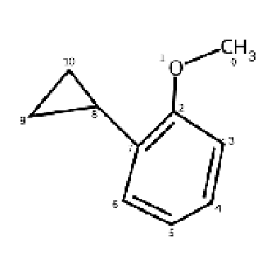 COc1[c]cccc1C1CC1